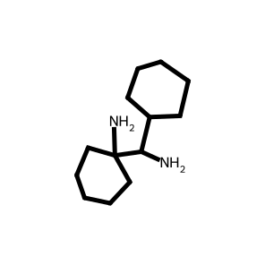 NC(C1CCCCC1)C1(N)CCCCC1